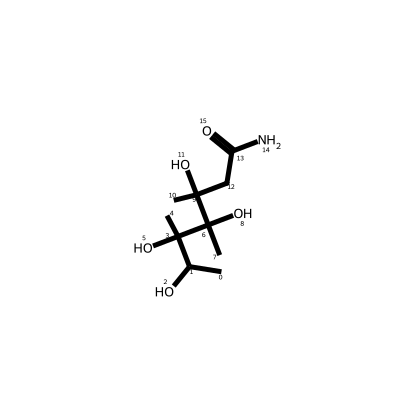 CC(O)C(C)(O)C(C)(O)C(C)(O)CC(N)=O